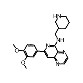 COc1ccc(-c2cc3nccnc3c(NCC3CCCNC3)n2)cc1OC